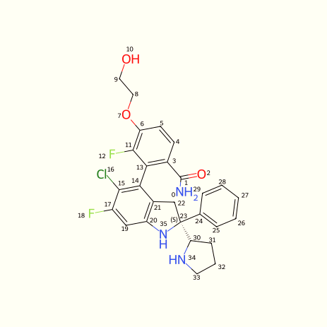 NC(=O)c1ccc(OCCO)c(F)c1-c1c(Cl)c(F)cc2c1C[C@](c1ccccc1)(C1CCCN1)N2